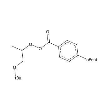 CCCCCc1ccc(C(=O)OO[C](C)COC(C)(C)C)cc1